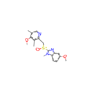 COc1ccc2c(c1)nc([S@@+]([O-])Cc1ncc(C)c(OC)c1C)n2C